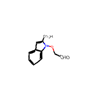 O=CCOn1c(C(=O)O)cc2ccccc21